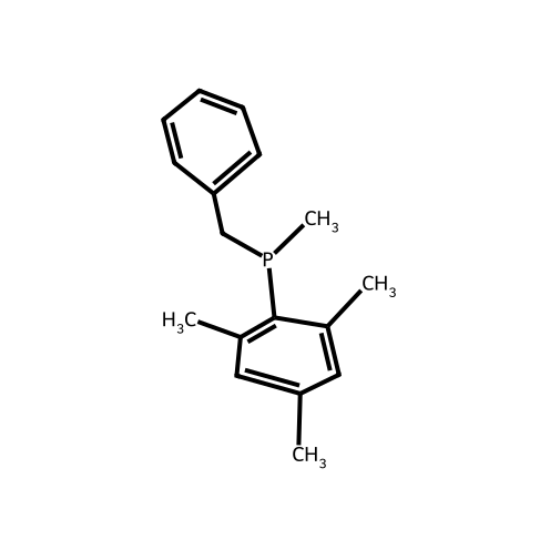 Cc1cc(C)c(P(C)Cc2ccccc2)c(C)c1